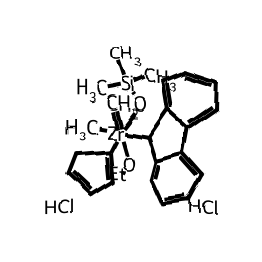 Cl.Cl.[CH2]=[Zr]([CH3])([O]CC)([O][Si](C)(C)C)([C]1=CC=CC1)[CH]1c2ccccc2-c2ccccc21